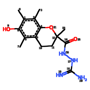 Cc1c(C)c2c(c(C)c1O)CCC(C)(C(=O)NNC(=N)N)O2